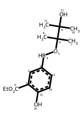 CCOC(=O)c1cc(BOC(C)(C)C(C)(C)O)ccc1O